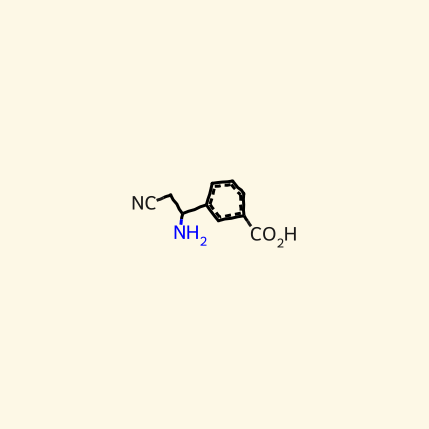 N#CCC(N)c1cccc(C(=O)O)c1